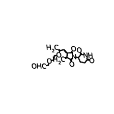 C=C(/C=C1\C(=C)C(=O)N(C2CCC(=O)NC2=O)C1=O)OCCOCC=O